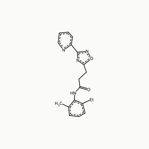 CCc1cccc(C)c1NC(=O)CCc1nc(-c2ccccn2)no1